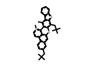 Cc1c2c(c(CC(C)(C)C)c3sc4ccccc4c13)Sc1cc3cc(CC(C)(C)C)ccc3c3cc[n+](C)c-2c13